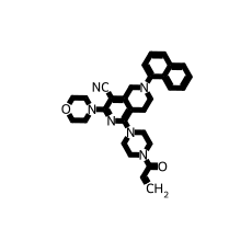 C=CC(=O)N1CCN(c2nc(N3CCOCC3)c(C#N)c3c2CCN(c2cccc4ccccc24)C3)CC1